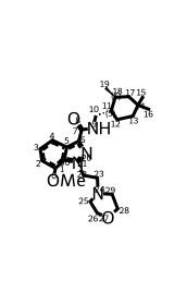 COc1cccc2c(C(=O)NC[C@H]3CCC(C)(C)C[C@@H]3C)nn(CCN3CCOCC3)c12